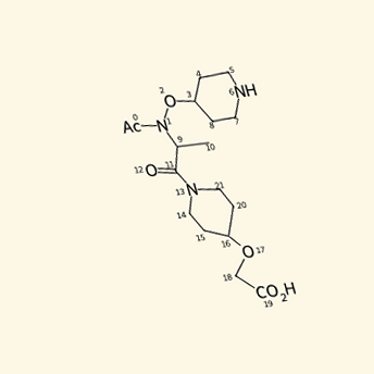 CC(=O)N(OC1CCNCC1)C(C)C(=O)N1CCC(OCC(=O)O)CC1